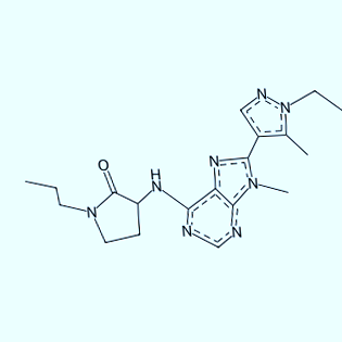 CCCN1CCC(Nc2ncnc3c2nc(-c2cnn(CC)c2C)n3C)C1=O